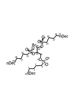 CCCCCCCCCCCCCCS(=O)(=O)OCC(OS(=O)(=O)CCCCCCCCCCCCCC)C(OS(=O)(=O)CCCCCCCCCCCCCC)C(C)=O